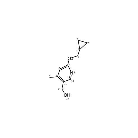 Cc1cc(OCC2CC2)ncc1CO